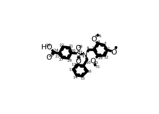 COc1cc(OC)c(CN(Cc2ccccc2)S(=O)(=O)c2ccc(C(=O)O)cc2)c(OC)c1